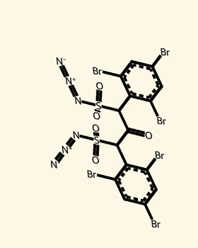 [N-]=[N+]=NS(=O)(=O)C(C(=O)C(c1c(Br)cc(Br)cc1Br)S(=O)(=O)N=[N+]=[N-])c1c(Br)cc(Br)cc1Br